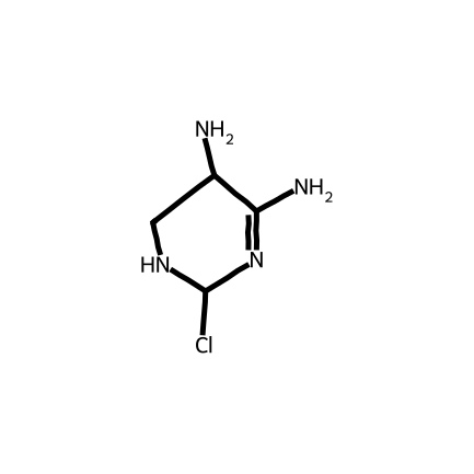 NC1=NC(Cl)NCC1N